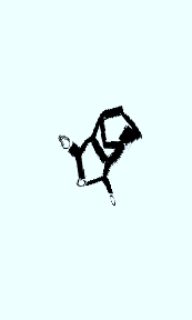 O=C1OC(=O)C2=C1C1=CC=C2C1